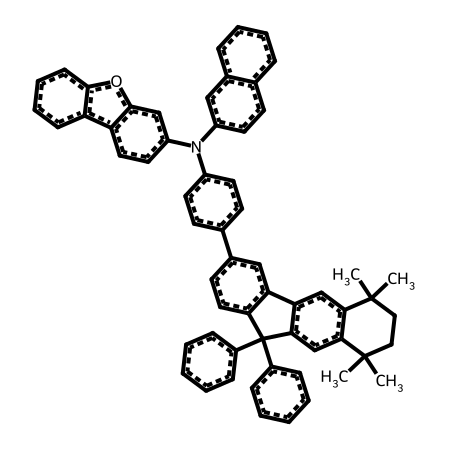 CC1(C)CCC(C)(C)c2cc3c(cc21)-c1cc(-c2ccc(N(c4ccc5ccccc5c4)c4ccc5c(c4)oc4ccccc45)cc2)ccc1C3(c1ccccc1)c1ccccc1